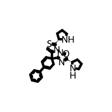 C1=CC(c2csc([C@@H]3CCCN3)n2)(c2noc([C@@H]3CCCN3)n2)CC=C1c1ccccc1